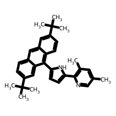 Cc1cnc(-c2ccc(-c3c4ccc(C(C)(C)C)cc4cc4ccc(C(C)(C)C)cc34)[nH]2)c(C)c1